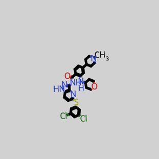 CN1CCC(c2ccc(C(=O)Nc3n[nH]c4ccc(Sc5cc(Cl)cc(Cl)c5)nc34)c(NC3CCOCC3)c2)CC1